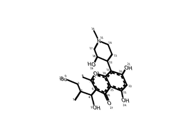 CCC(C)CC(C)C(O)c1c(C)oc2c(C3CCN(C)CC3O)c(O)cc(O)c2c1=O